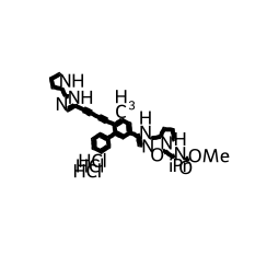 COC(=O)N[C@H](C(=O)N1CCCC1c1ncc(-c2cc(C)c(C#CC#Cc3cnc(C4CCCN4)[nH]3)c(-c3ccccc3)c2)[nH]1)C(C)C.Cl.Cl.Cl